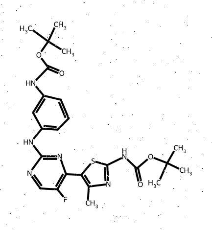 Cc1nc(NC(=O)OC(C)(C)C)sc1-c1nc(Nc2cccc(NC(=O)OC(C)(C)C)c2)ncc1F